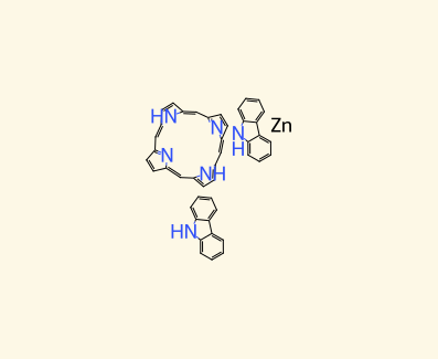 C1=Cc2cc3ccc(cc4nc(cc5ccc(cc1n2)[nH]5)C=C4)[nH]3.[Zn].c1ccc2c(c1)[nH]c1ccccc12.c1ccc2c(c1)[nH]c1ccccc12